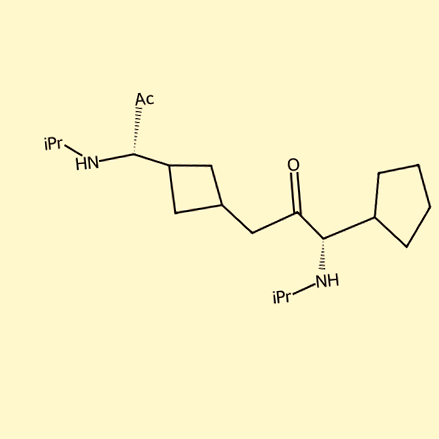 CC(=O)[C@@H](NC(C)C)C1CC(CC(=O)[C@@H](NC(C)C)C2CCCC2)C1